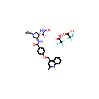 CCCCN1C[C@H](C(=O)NO)[C@H](NC(=O)c2ccc(OCc3cc(C)nc4ccccc34)cc2)C1.O=C(O)C(F)(F)F.O=C(O)C(F)(F)F